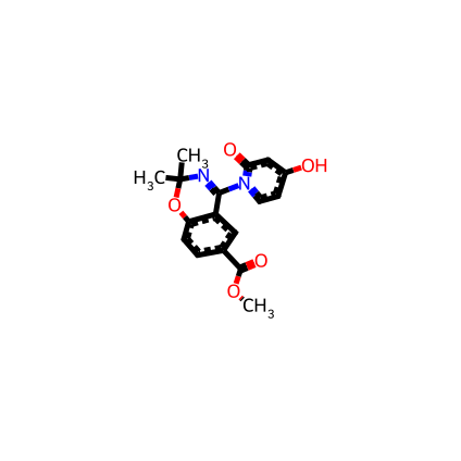 COC(=O)c1ccc2c(c1)C(n1ccc(O)cc1=O)=NC(C)(C)O2